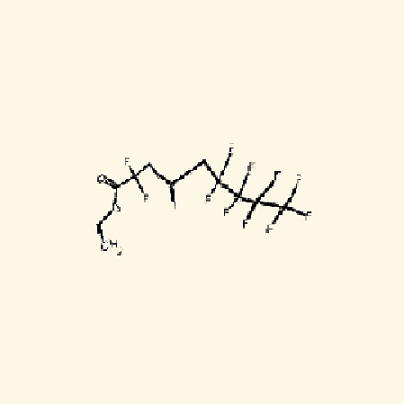 CCOC(=O)C(F)(F)CC(I)CC(F)(F)C(F)(F)C(F)(F)C(F)(F)F